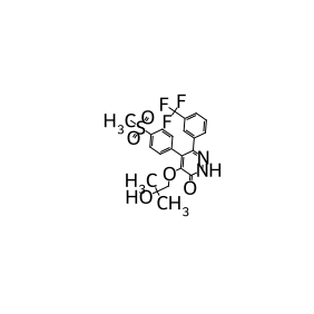 CC(C)(O)COc1c(-c2ccc(S(C)(=O)=O)cc2)c(-c2cccc(C(F)(F)F)c2)n[nH]c1=O